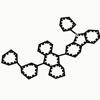 c1ccc(-c2cccc(-c3c4ccccc4c(-c4ccc5c6ccccc6n(-c6ccccc6)c5c4)c4ccccc34)c2)cc1